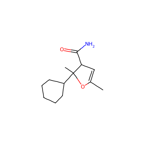 CC1=CC(C(N)=O)C(C)(C2CCCCC2)O1